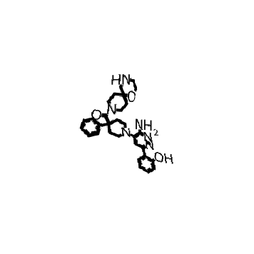 Nc1nnc(-c2ccccc2O)cc1N1CCC(C(=O)N2CCC3(CC2)CNCCO3)(c2ccccc2)CC1